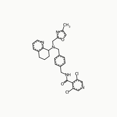 Cc1coc(CN(Cc2ccc(CNC(=O)c3c(Cl)cncc3Cl)cc2)C2CCCc3cccnc32)n1